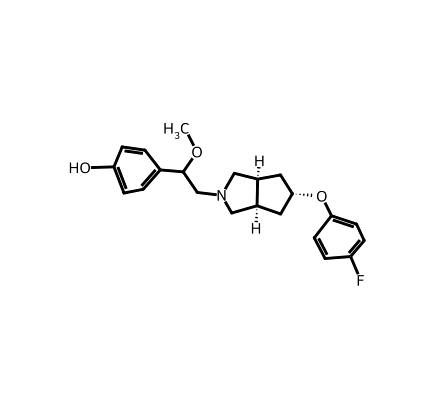 COC(CN1C[C@H]2C[C@H](Oc3ccc(F)cc3)C[C@H]2C1)c1ccc(O)cc1